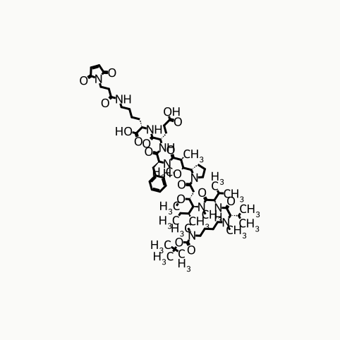 CC[C@H](C)[C@@H]([C@@H](CC(=O)N1CCC[C@H]1[C@H](OC)[C@@H](C)C(=O)N[C@@H](Cc1ccccc1)C(=O)N[C@@H](CCC(=O)O)C(=O)N[C@@H](CCCCNC(=O)CCN1C(=O)C=CC1=O)C(=O)O)OC)N(C)C(=O)[C@@H](NC(=O)[C@H](C(C)C)N(C)CCCCN(C)C(=O)OC(C)(C)C)C(C)C